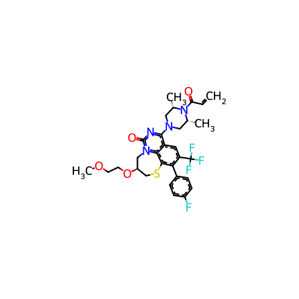 C=CC(=O)N1[C@H](C)CN(c2nc(=O)n3c4c(c(-c5ccc(F)cc5)c(C(F)(F)F)cc24)SC[C@@H](OCCOC)C3)C[C@@H]1C